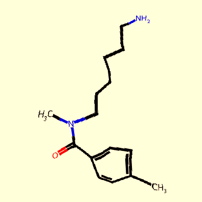 Cc1ccc(C(=O)N(C)CCCCCCN)cc1